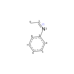 C/[C]=N\c1ccccc1